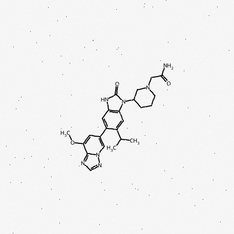 COc1cc(-c2cc3[nH]c(=O)n(C4CCCN(CC(N)=O)C4)c3cc2C(C)C)cn2ncnc12